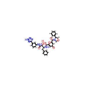 O=C(NC(Cc1ccccc1)[C@H](O)C(=O)Nc1cccc(-c2nn[nH]n2)c1)c1cc(=O)cc(C(=O)N2COCC2c2ccccc2)o1